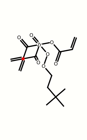 C=CC(=O)[O][Zr](=[O])([O]OCCC(C)(C)C)([C](=O)C=C)[C](=O)C=C